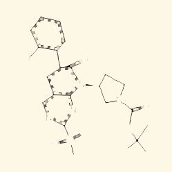 CC(C)(C)OC(=O)N1CC[C@H](n2c(=O)c(-c3ccccc3Cl)cc3cnc(S(C)(=O)=O)nc32)C1